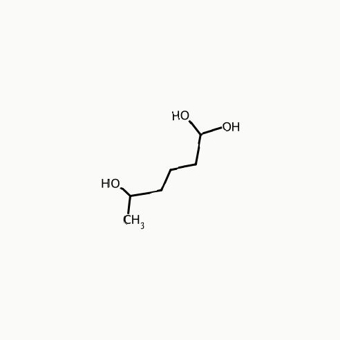 CC(O)CCCC(O)O